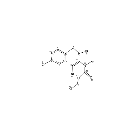 CCN(Cc1ccc(Cl)nc1)/C(=C/[N+](=O)[O-])N(C)C(=O)OCCl